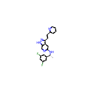 C[C@@H](Nc1cc2c(/C=C/c3ccccn3)n[nH]c2cn1)c1cc(F)cc(F)c1